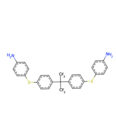 Nc1ccc(Sc2ccc(C(c3ccc(Sc4ccc(N)cc4)cc3)(C(F)(F)F)C(F)(F)F)cc2)cc1